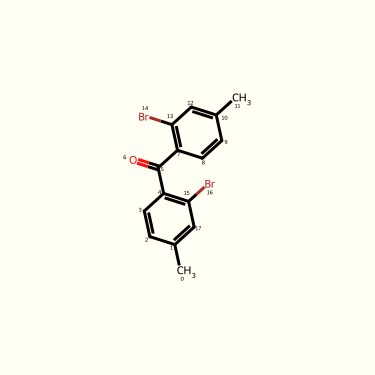 Cc1ccc(C(=O)c2ccc(C)cc2Br)c(Br)c1